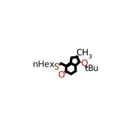 CCCCCCSCC1=C2CC(C)[C@H](OC(C)(C)C)C2CCC1=O